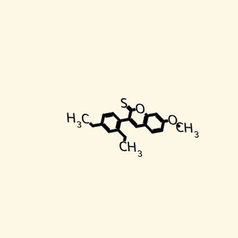 CCc1ccc(-c2cc3ccc(OC)cc3oc2=S)c(CC)c1